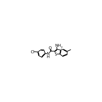 Cc1ccc2sc(C(=O)Nc3ccc(Cl)cc3)c(N)c2c1